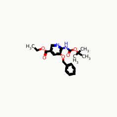 CCOC(=O)c1cnc(NC(=O)OC(C)(C)C)c(OCc2ccccc2)c1